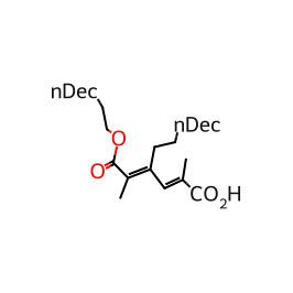 CCCCCCCCCCCCOC(=O)C(C)=C(C=C(C)C(=O)O)CCCCCCCCCCCC